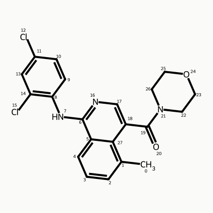 Cc1cccc2c(Nc3ccc(Cl)cc3Cl)ncc(C(=O)N3CCOCC3)c12